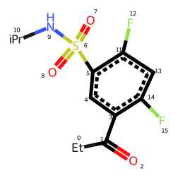 CCC(=O)c1cc(S(=O)(=O)NC(C)C)c(F)cc1F